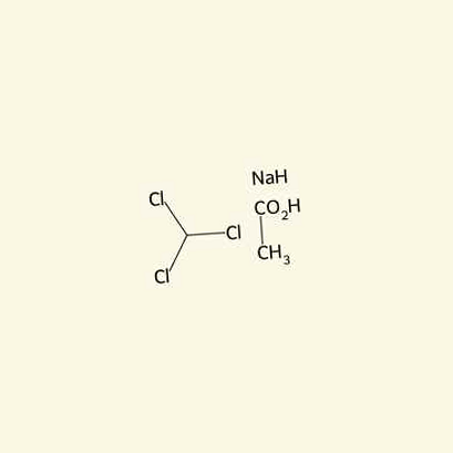 CC(=O)O.ClC(Cl)Cl.[NaH]